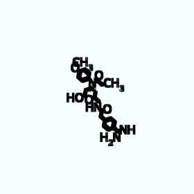 CCC(=O)N(c1ccc(OC)cc1)[C@@H](CCCNC(=O)Cc1ccc(C(=N)N)cc1)CC(=O)O